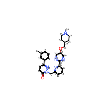 Cc1cccc(-c2ccc(=O)n(Cc3cccc(-c4ncc(OCC5CCN(C)CC5)cn4)n3)n2)c1